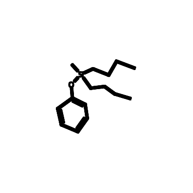 CCCC[Si](C)(CCCC)Oc1ccccc1